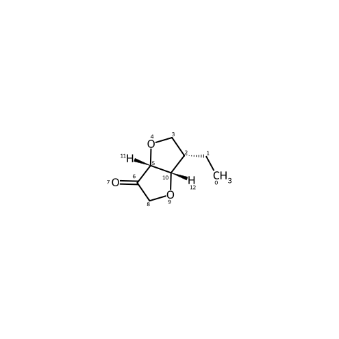 CC[C@H]1CO[C@H]2C(=O)CO[C@@H]12